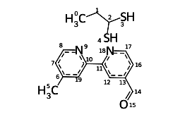 CCC(S)S.Cc1ccnc(-c2cc(C=O)ccn2)c1